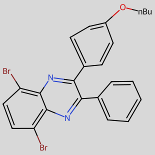 CCCCOc1ccc(-c2nc3c(Br)ccc(Br)c3nc2-c2ccccc2)cc1